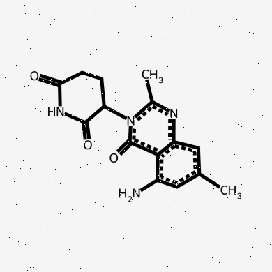 Cc1cc(N)c2c(=O)n(C3CCC(=O)NC3=O)c(C)nc2c1